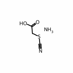 N.N#CSCC(=O)O